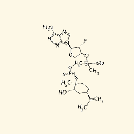 C=C(C)[C@@H]1CC[C@](C)(S[PH](=S)OC[C@H]2O[C@@H](n3cnc4c(N)ncnc43)[C@H](F)C2O[Si](C)(C)C(C)(C)C)[C@@H](O)C1